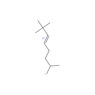 [CH2]C(C)CC/C=C/C(C)(C)C